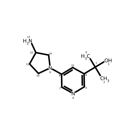 CC(C)(O)c1cncc(N2CCC(N)C2)c1